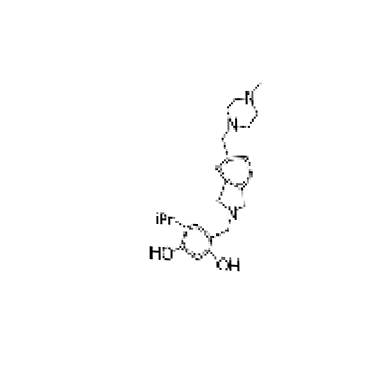 CC(C)c1cc(CN2Cc3ccc(CN4CCN(C)CC4)cc3C2)c(O)cc1O